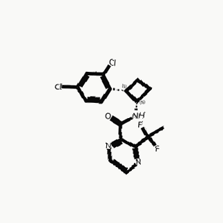 CC(F)(F)c1nccnc1C(=O)N[C@H]1CC[C@H]1c1ccc(Cl)cc1Cl